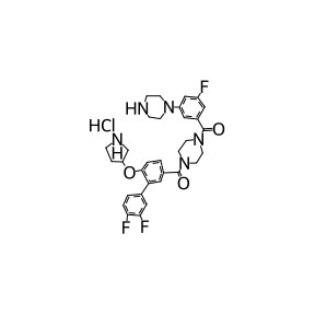 Cl.O=C(c1cc(F)cc(N2CCNCC2)c1)N1CCN(C(=O)c2ccc(OC3CCNC3)c(-c3ccc(F)c(F)c3)c2)CC1